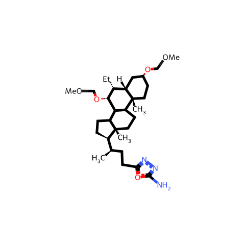 CC[C@H]1[C@@H](OCOC)C2C3CC[C@H]([C@H](C)CCc4nnc(N)o4)[C@@]3(C)CCC2[C@@]2(C)CC[C@@H](OCOC)C[C@@H]12